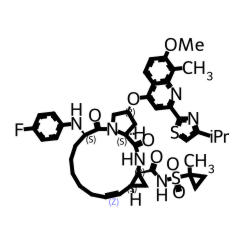 COc1ccc2c(O[C@@H]3C[C@H]4C(=O)N[C@]5(C(=O)NS(=O)(=O)C6(C)CC6)C[C@H]5/C=C\CCCCC[C@H](Nc5ccc(F)cc5)C(=O)N4C3)cc(-c3nc(C(C)C)cs3)nc2c1C